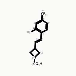 O=C(O)N1CC(/C=C/c2ccc(C(F)(F)F)cc2F)C1